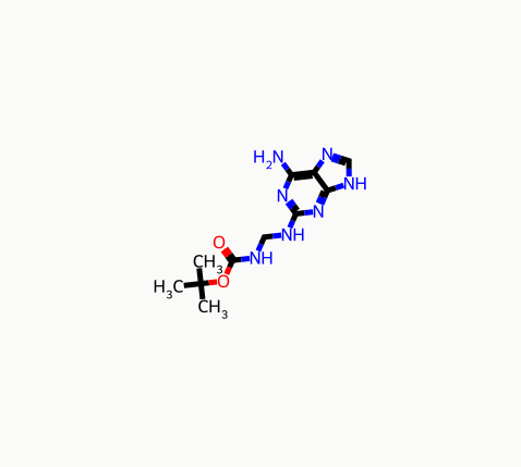 CC(C)(C)OC(=O)NCNc1nc(N)c2nc[nH]c2n1